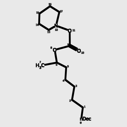 CCCCCCCCCCCCCCCC(C)OC(=O)ON1CCCCC1